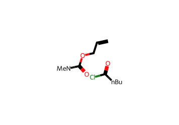 C=CCOC(=O)NC.CCCCC(=O)Cl